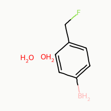 Bc1ccc(CF)cc1.O.O